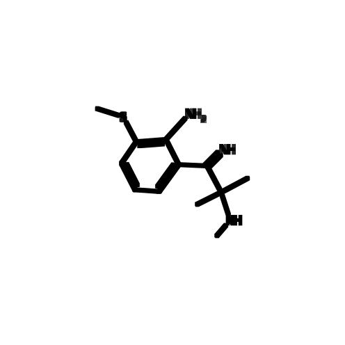 CNC(C)(C)C(=N)c1cccc(SC)c1N